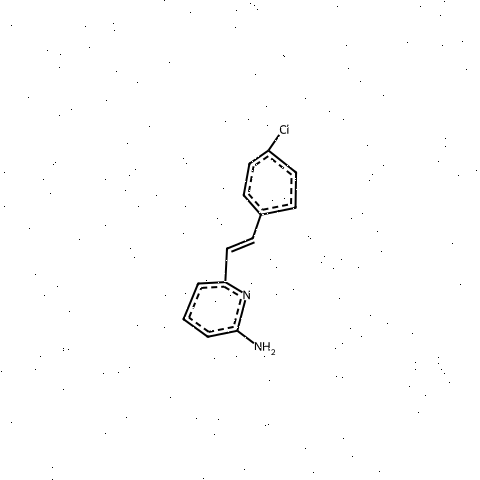 Nc1cccc(/C=C/c2ccc(Cl)cc2)n1